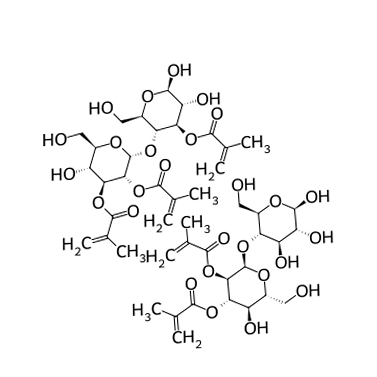 C=C(C)C(=O)O[C@@H]1[C@@H](O)[C@H](O)O[C@H](CO)[C@H]1O[C@H]1O[C@H](CO)[C@@H](O)[C@H](OC(=O)C(=C)C)[C@H]1OC(=O)C(=C)C.C=C(C)C(=O)O[C@H]1[C@@H](O[C@H]2[C@H](O)[C@@H](O)[C@H](O)O[C@@H]2CO)O[C@H](CO)[C@@H](O)[C@@H]1OC(=O)C(=C)C